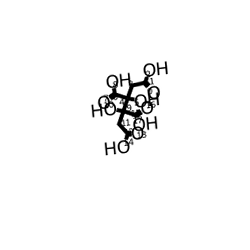 O=C(O)CC(O)(C(=O)O)C(O)(CC(=O)O)C(=O)O